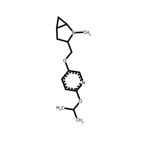 CC(C)Oc1ccc(OCC2CC3CC3N2C)cn1